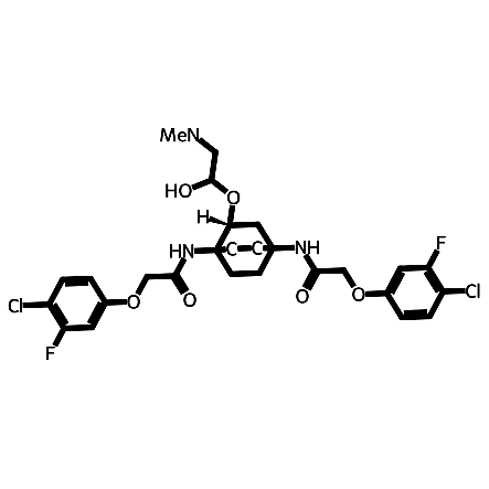 CNCC(O)O[C@@H]1CC2(NC(=O)COc3ccc(Cl)c(F)c3)CCC1(NC(=O)COc1ccc(Cl)c(F)c1)CC2